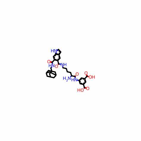 NC(CCCCNC(=O)c1cc2cc[nH]c2cc1C(=O)NCC12CC3CC(CC(C3)C1)C2)C(=O)Nc1cc(C(=O)O)cc(C(=O)O)c1